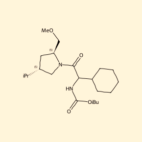 COC[C@@H]1C[C@@H](C(C)C)CN1C(=O)C(NC(=O)OCC(C)C)C1CCCCC1